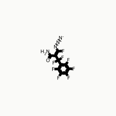 [N-]=[N+]=NC(F)=C(C(N)=O)C(F)(F)c1c(F)c(F)c(F)c(F)c1F